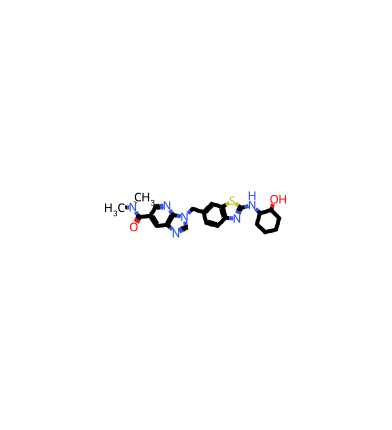 CN(C)C(=O)c1cnc2c(c1)ncn2Cc1ccc2nc(NC3CCCCC3O)sc2c1